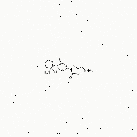 CCC1(N)CCCCN1c1ccc(N2CC(CNC(C)=O)OC2=O)cc1F